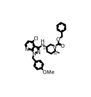 COc1ccc(Cn2nc(N[C@@H]3CC[C@H](C)N(C(=O)OCc4ccccc4)C3)c3c(Cl)ccnc32)cc1